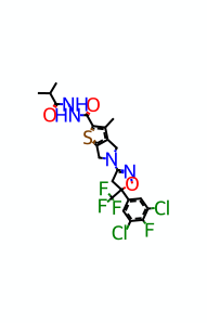 Cc1c(C(=O)NNC(=O)C(C)C)sc2c1CN(C1=NOC(c3cc(Cl)c(F)c(Cl)c3)(C(F)(F)F)C1)C2